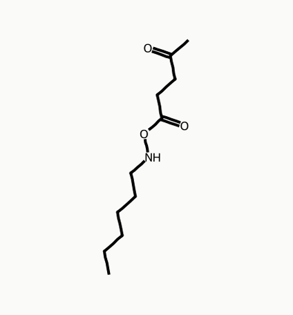 CCCCCCNOC(=O)CCC(C)=O